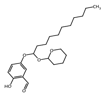 CCCCCCCCCCC(Oc1ccc(O)c(C=O)c1)OC1CCCCO1